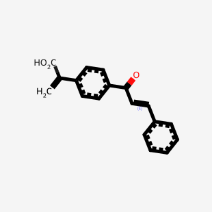 C=C(C(=O)O)c1ccc(C(=O)/C=C/c2ccccc2)cc1